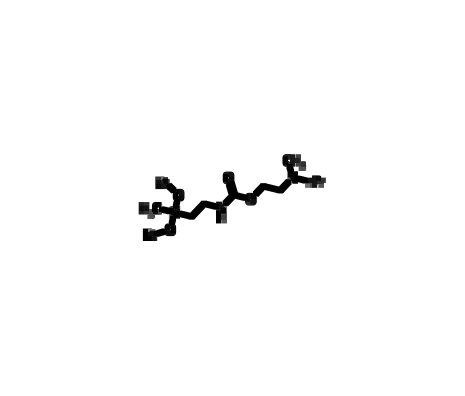 CCCN(C)CCOC(=O)NCC[Si](C)(OCC)OCC